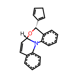 C1=CC([C@H]2O[C@H]3C=Cc4ccccc4N3c3ccccc32)=CC1